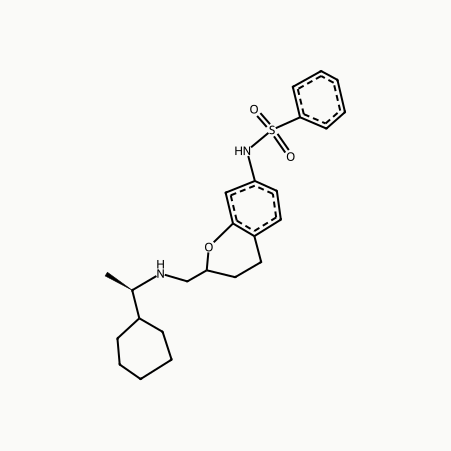 C[C@@H](NCC1CCc2ccc(NS(=O)(=O)c3ccccc3)cc2O1)C1CCCCC1